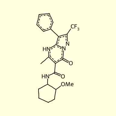 COC1CCCCC1NC(=O)c1c(C)[nH]c2c(-c3ccccc3)c(C(F)(F)F)nn2c1=O